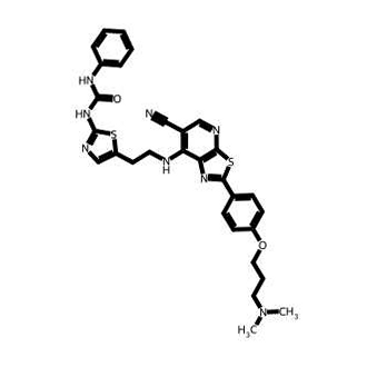 CN(C)CCCOc1ccc(-c2nc3c(NCCc4cnc(NC(=O)Nc5ccccc5)s4)c(C#N)cnc3s2)cc1